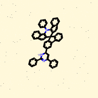 C1=C(c2ccccc2)N=C(c2ccccc2)NC1c1ccc2c(c1)-c1ccccc1C21c2ccc3ccccc3c2N(c2ccccc2)c2c1ccc1ccccc21